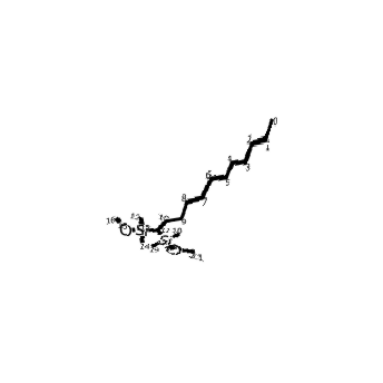 CCCCCCCCCCCC([Si](C)(C)OC)[Si](C)(C)OC